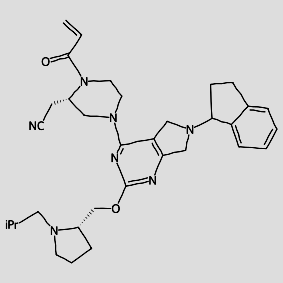 C=CC(=O)N1CCN(c2nc(OC[C@@H]3CCCN3CC(C)C)nc3c2CN(C2CCc4ccccc42)C3)C[C@@H]1CC#N